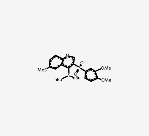 CCCCN(CCCC)c1c(S(=O)(=O)c2ccc(OC)c(OC)c2)cnc2ccc(SC)cc12